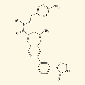 CCCN(OCc1ccc(N)cc1)C(=O)C1=Cc2ccc(-c3cccc(N4CCNC4=O)c3)cc2N=C(N)C1